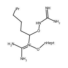 CCCCCCCO[N+](=C(N)N)C(CCCC(C)C)ONC(=N)N